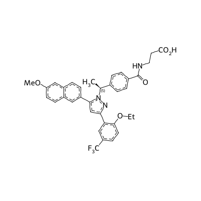 CCOc1ccc(C(F)(F)F)cc1-c1cc(-c2ccc3cc(OC)ccc3c2)n([C@@H](C)c2ccc(C(=O)NCCC(=O)O)cc2)n1